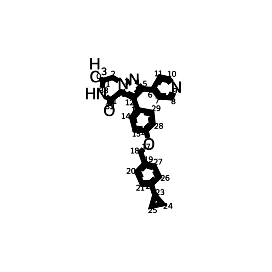 CC1Cn2nc(-c3ccncc3)c(-c3ccc(OCc4ccc(C5CC5)cc4)cc3)c2C(=O)N1